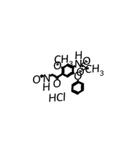 COc1cc(NS(C)(=O)=O)c(Oc2ccccc2)cc1C(=O)CNC=O.Cl